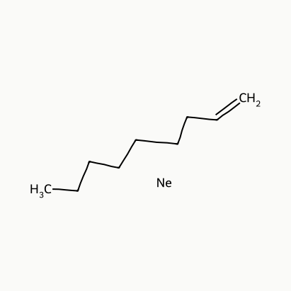 C=CCCCCCCC.[Ne]